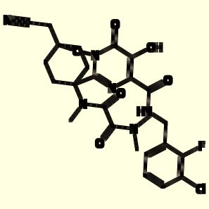 CN(C)C(=O)C(=O)N(C)C12CCC(CC#N)(CC1)Cn1c2nc(C(=O)NCc2cccc(Cl)c2F)c(O)c1=O